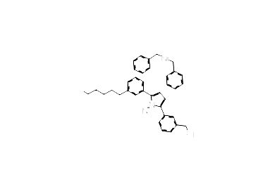 CCCCCCc1cccc(C2=CC=C(c3cccc(CC)c3)[N+]2=[N-])c1.c1ccc([CH2][Ni][CH2]c2ccccc2)cc1